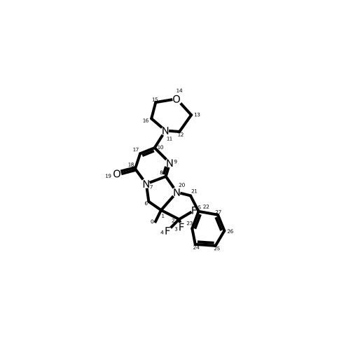 CC1(C(F)(F)F)Cn2c(nc(N3CCOCC3)cc2=O)N1Cc1ccccc1